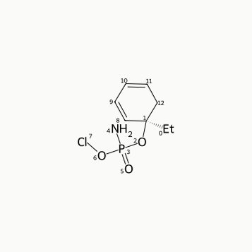 CC[C@]1(OP(N)(=O)OCl)C=CC=CC1